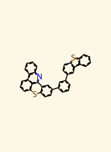 c1cc(-c2ccc3c(c2)-c2nc4ccccc4c4cccc(c24)S3)cc(-c2ccc3sc4ccccc4c3c2)c1